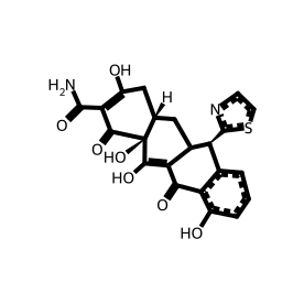 NC(=O)C1=C(O)C[C@@H]2CC3C(=C(O)[C@]2(O)C1=O)C(=O)c1c(O)cccc1[C@@H]3c1nccs1